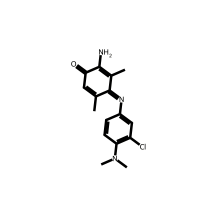 CC1=CC(=O)C(N)=C(C)C1=Nc1ccc(N(C)C)c(Cl)c1